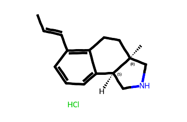 CC=Cc1cccc2c1CC[C@@]1(C)CNC[C@@H]21.Cl